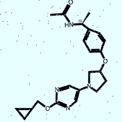 CC(=O)N[C@@H](C)c1ccc(OC2CCN(c3cnc(OCC4CC4)nc3)C2)cc1